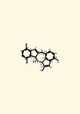 CC1=Cc2c(C)ccc(C)c2[CH]1[YH][CH]1C(C)=Cc2c(C)ccc(C)c21